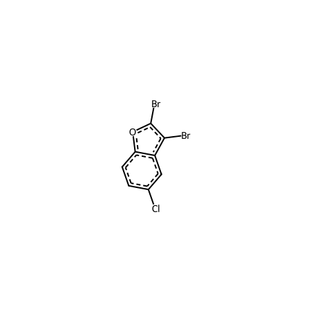 Clc1ccc2oc(Br)c(Br)c2c1